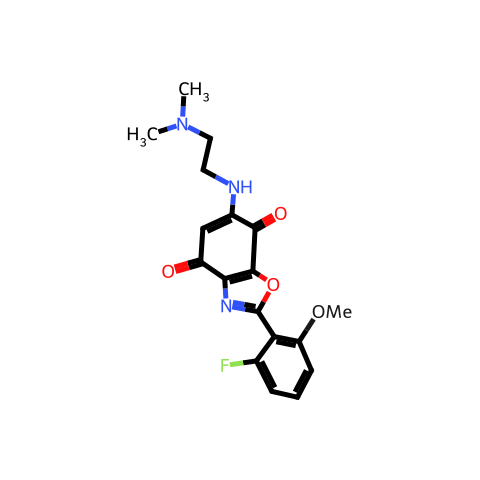 COc1cccc(F)c1-c1nc2c(o1)C(=O)C(NCCN(C)C)=CC2=O